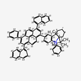 CC(C)(C)C12CCCCC1(C)c1cc(-c3cc(-c4cccc5ccccc45)c4ccc5c(-c6ccccc6)cc(-c6cccc7ccccc67)c6ccc3c4c56)ccc1N2c1ccccc1